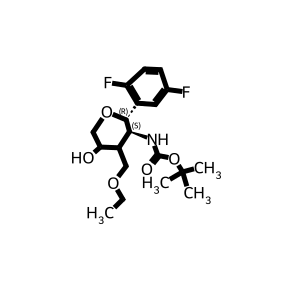 CCOCC1C(O)CO[C@H](c2cc(F)ccc2F)[C@H]1NC(=O)OC(C)(C)C